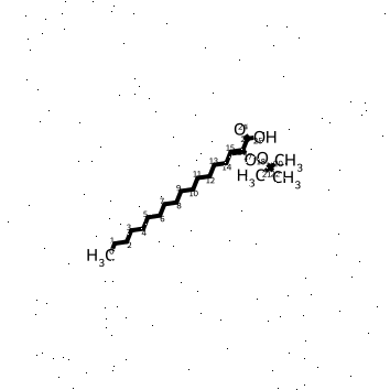 CCCCCCCCCCCCCCCC=C(OOC(C)(C)C)C(=O)O